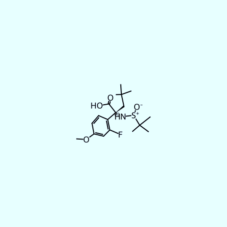 COc1ccc([C@@](CC(C)(C)C)(N[S+]([O-])C(C)(C)C)C(=O)O)c(F)c1